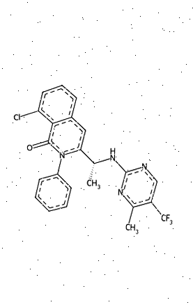 Cc1nc(N[C@H](C)c2cc3cccc(Cl)c3c(=O)n2-c2ccccc2)ncc1C(F)(F)F